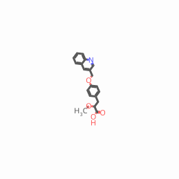 COC(Cc1ccc(OCc2cnc3ccccc3c2)cc1)C(=O)O